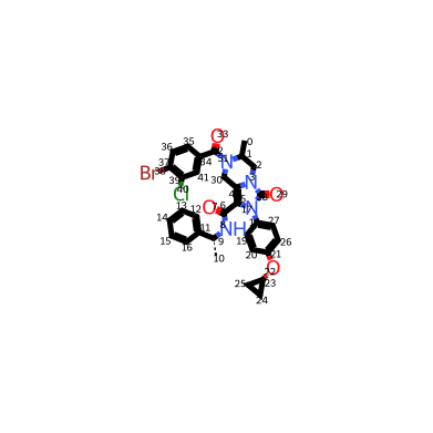 CC1Cn2c(c(C(=O)N[C@H](C)c3ccccc3)n(-c3ccc(OC4CC4)cc3)c2=O)CN1C(=O)c1ccc(Br)c(Cl)c1